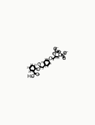 O=C(Cc1ccc(OCC(CO[N+](=O)[O-])O[N+](=O)[O-])cc1)Oc1ccccc1C(=O)O